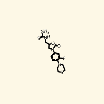 NC(=S)NCC1CN(c2ccc(N3CCSCC3)c(F)c2)C(=O)O1